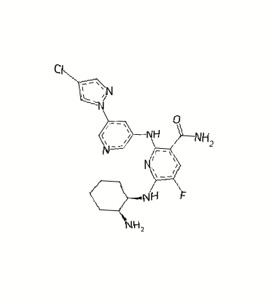 NC(=O)c1cc(F)c(N[C@@H]2CCCC[C@@H]2N)nc1Nc1cncc(-n2cc(Cl)cn2)c1